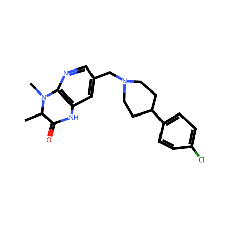 CC1C(=O)Nc2cc(CN3CCC(c4ccc(Cl)cc4)CC3)cnc2N1C